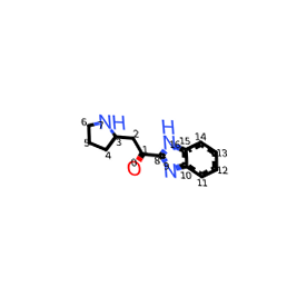 O=C(CC1CCCN1)c1nc2ccccc2[nH]1